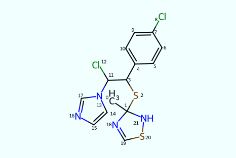 CC1(SC(c2ccc(Cl)cc2)C(Cl)n2ccnc2)N=CSN1